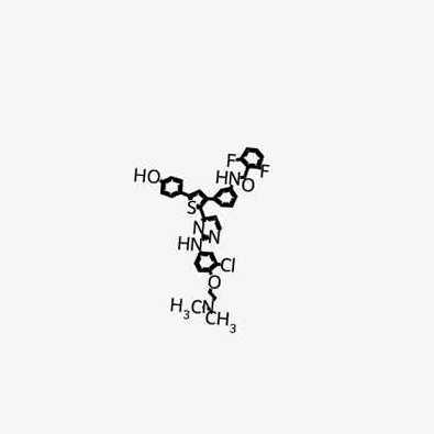 CN(C)CCOc1ccc(Nc2nccc(-c3sc(-c4ccc(O)cc4)cc3-c3cccc(NC(=O)c4c(F)cccc4F)c3)n2)cc1Cl